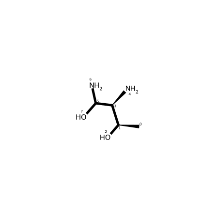 C[C@@H](O)[C@H](N)C(N)O